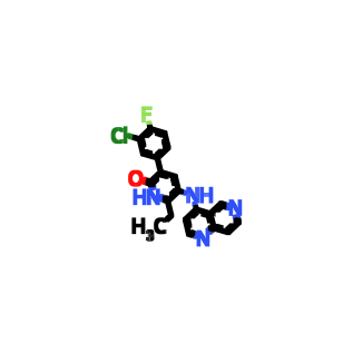 CCc1[nH]c(=O)c(-c2ccc(F)c(Cl)c2)cc1Nc1ccnc2ccncc12